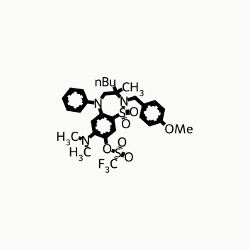 CCCCC1(C)CN(c2ccccc2)c2cc(N(C)C)c(OS(=O)(=O)C(F)(F)F)cc2S(=O)(=O)N1Cc1ccc(OC)cc1